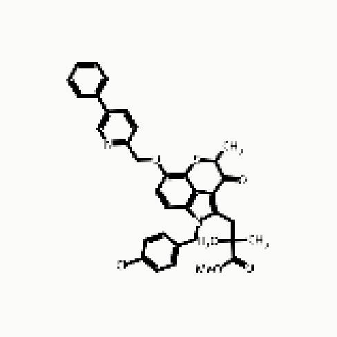 COC(=O)C(C)(C)Cc1c2c3c(c(OCc4ccc(-c5ccccc5)cn4)ccc3n1Cc1ccc(Cl)cc1)SC(C)C2=O